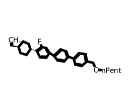 C=C[C@H]1CC[C@H](c2ccc(-c3ccc(-c4ccc(COCCCCC)cc4)cc3)cc2F)CC1